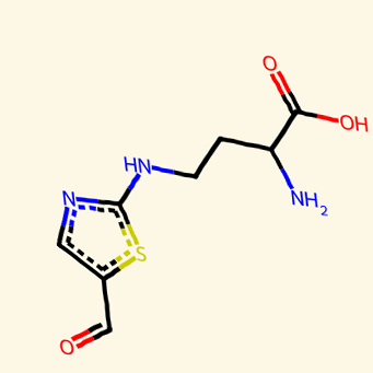 NC(CCNc1ncc(C=O)s1)C(=O)O